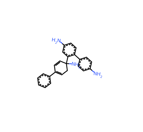 Nc1ccc(-c2ccc(N)cc2C2(N)C=CC(c3ccccc3)=CC2)cc1